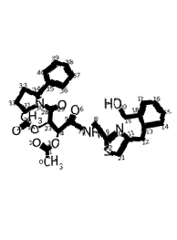 CC(=O)O[C@@H](C(=O)NCc1nc(Cc2ccccc2CO)cs1)[C@@H](OC(C)=O)C(=O)N1CCCC1c1ccccc1